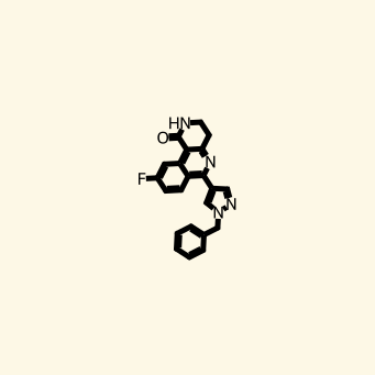 O=C1NCCc2nc(-c3cnn(Cc4ccccc4)c3)c3ccc(F)cc3c21